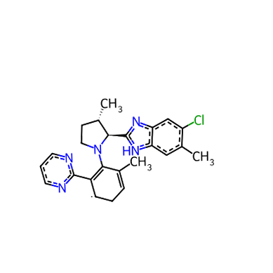 CC1=CC[CH]C(c2ncccn2)=C1N1CC[C@H](C)[C@H]1c1nc2cc(Cl)c(C)cc2[nH]1